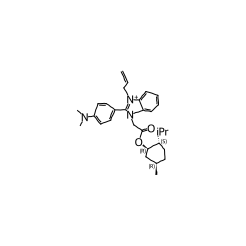 C=CC[n+]1c(-c2ccc(N(C)C)cc2)n(CC(=O)O[C@@H]2C[C@H](C)CC[C@H]2C(C)C)c2ccccc21